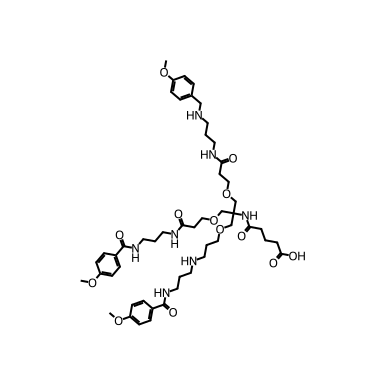 COc1ccc(CNCCCNC(=O)CCOCC(COCCCNCCCNC(=O)c2ccc(OC)cc2)(COCCC(=O)NCCCNC(=O)c2ccc(OC)cc2)NC(=O)CCCC(=O)O)cc1